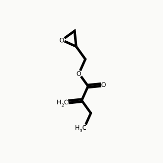 C=C(CC)C(=O)OCC1CO1